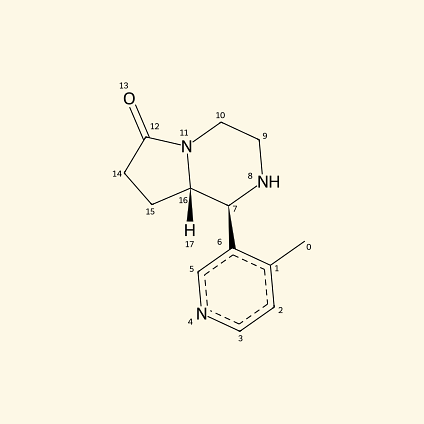 Cc1ccncc1[C@@H]1NCCN2C(=O)CC[C@@H]12